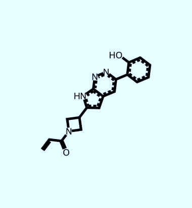 C=CC(=O)N1CC(c2cc3cc(-c4ccccc4O)nnc3[nH]2)C1